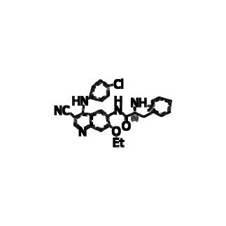 CCOc1cc2ncc(C#N)c(Nc3ccc(Cl)cc3)c2cc1NC(=O)[C@@H](N)Cc1ccccc1